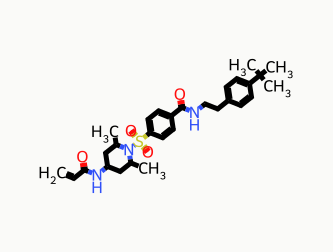 C=CC(=O)NC1CC(C)N(S(=O)(=O)c2ccc(C(=O)NCCc3ccc(C(C)(C)C)cc3)cc2)C(C)C1